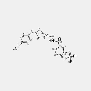 N#Cc1ccc(CN2CC3C(CNC(=O)c4cccc(OC(F)(F)F)c4)C3C2)cc1